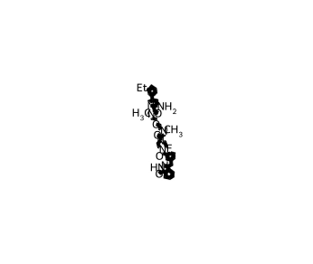 CCc1cccc(-c2cnc(C(=O)N(C)CCOCCN(C)CC(=O)N3CCN(C(=O)c4cc(Cc5n[nH]c(=O)c6ccccc56)ccc4F)CC3)c(N)c2)c1